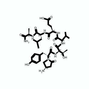 CC(C)C[C@@H](NC(=O)[C@@H](CCC(=O)O)NC(=O)[C@H](NC(=O)[C@H](NC(=O)[C@@H](Cc1ccc(O)cc1)N1C[C@@H](N)CC1=O)[C@@H](C)O)C(C)C)C(=O)N[C@H](C)C(N)=O